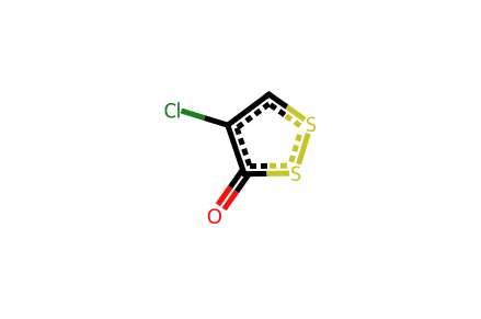 O=c1sscc1Cl